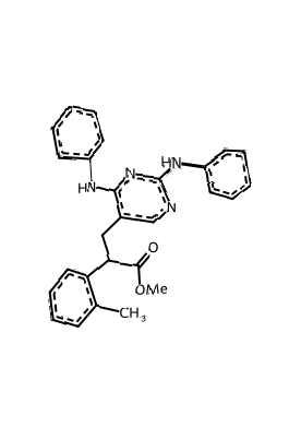 COC(=O)C(Cc1cnc(Nc2ccccc2)nc1Nc1ccccc1)c1ccccc1C